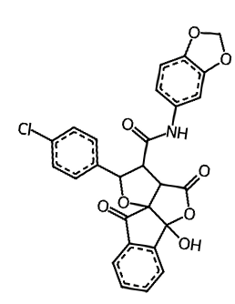 O=C(Nc1ccc2c(c1)OCO2)C1C(c2ccc(Cl)cc2)OC23C(=O)c4ccccc4C2(O)OC(=O)C13